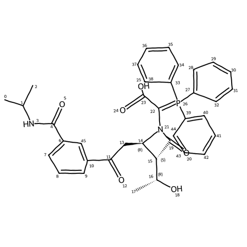 CC(C)NC(=O)c1cccc(C(=O)C[C@@H]2[C@@H]([C@@H](C)O)C(=O)N2C(C(=O)O)=P(c2ccccc2)(c2ccccc2)c2ccccc2)c1